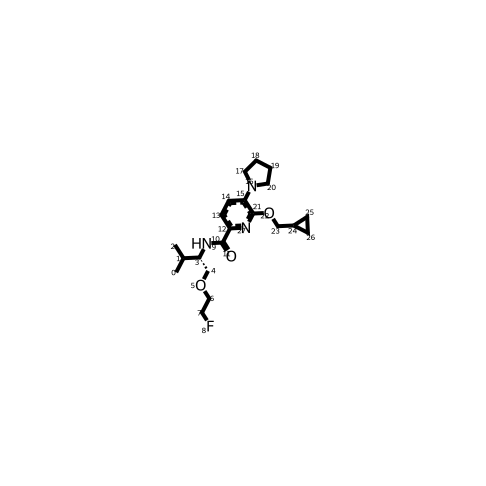 CC(C)[C@@H](COCCF)NC(=O)c1ccc(N2CCCC2)c(OCC2CC2)n1